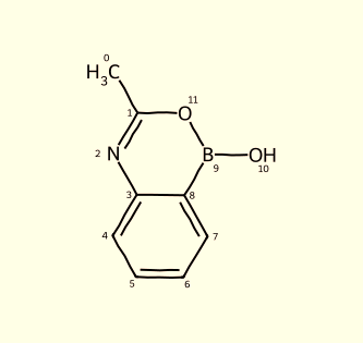 CC1=Nc2ccccc2B(O)O1